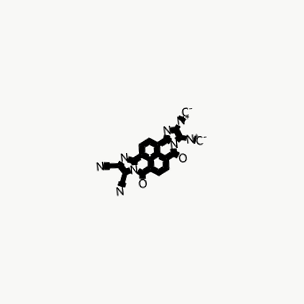 [C-]#[N+]c1nc2c3ccc4c5c(ccc(c(=O)n2c1[N+]#[C-])c35)c(=O)n1c(C#N)c(C#N)nc41